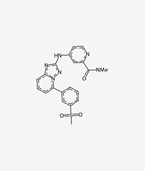 CNC(=O)c1cc(Nc2nc3cccc(-c4cccc(S(C)(=O)=O)c4)n3n2)ccn1